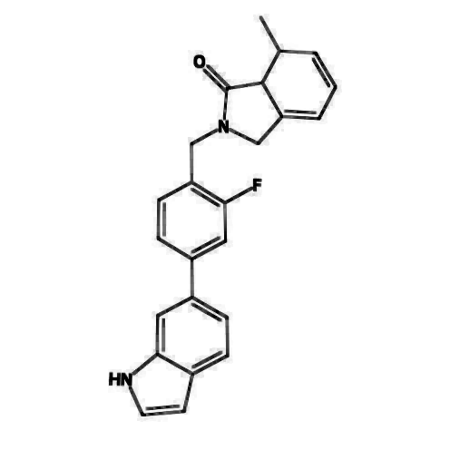 CC1C=CC=C2CN(Cc3ccc(-c4ccc5cc[nH]c5c4)cc3F)C(=O)C21